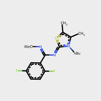 CCCCn1c(C)c(C)s/c1=N\C(=N\OC)c1cc(F)ccc1F